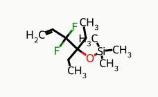 C=CC(F)(F)C(CC)(CC)O[Si](C)(C)C